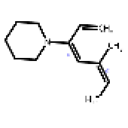 C=C/C(=C\C(C)=C/C)N1CCCCC1